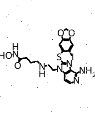 Nc1nccc2c1nc(Sc1cc3c(cc1I)OCO3)n2CCNCCCC(=O)NO